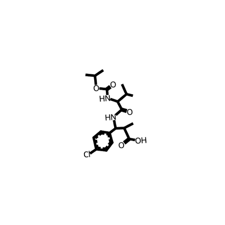 CC(C)OC(=O)NC(C(=O)NC(c1ccc(Cl)cc1)C(C)C(=O)O)C(C)C